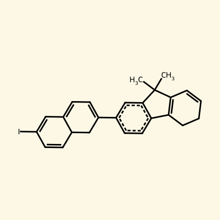 CC1(C)C2=C(CCC=C2)c2ccc(C3=CC=C4C=C(I)C=CC4C3)cc21